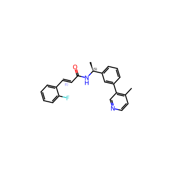 Cc1ccncc1-c1cccc([C@H](C)NC(=O)/C=C/c2ccccc2F)c1